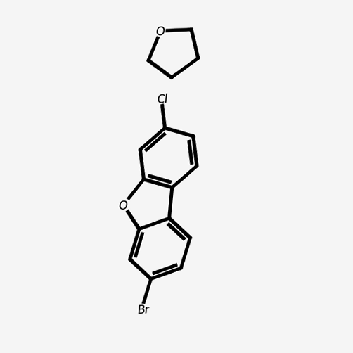 C1CCOC1.Clc1ccc2c(c1)oc1cc(Br)ccc12